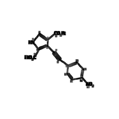 CCOC(=O)c1c[nH]c(C(=O)OCC)c1C#Cc1ccc([N+](=O)[O-])cc1